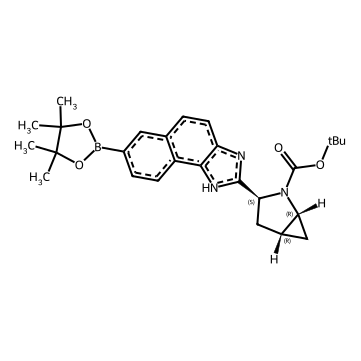 CC(C)(C)OC(=O)N1[C@@H]2C[C@@H]2C[C@H]1c1nc2ccc3cc(B4OC(C)(C)C(C)(C)O4)ccc3c2[nH]1